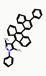 Cc1nn(-c2ccccc2)c(C)c1-c1c2ccccc2c(-c2ccc(-c3ccccc3)c3ccccc23)c2ccccc12